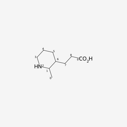 CC1NCCCC1CCC(=O)O